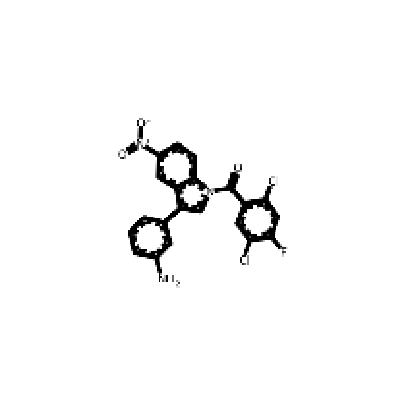 Nc1cccc(-c2cn(C(=O)c3cc(Cl)c(F)cc3Cl)c3ccc([N+](=O)[O-])cc23)c1